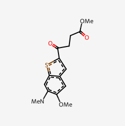 CNc1cc2sc(C(=O)CCC(=O)OC)cc2cc1OC